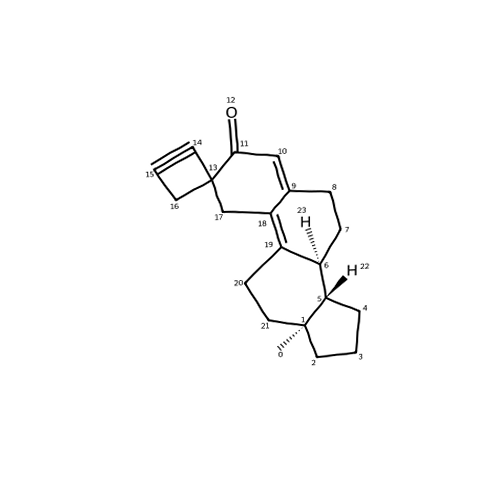 C[C@@]12CCC[C@H]1[C@@H]1CCC3=CC(=O)C4(C#CC4)CC3=C1CC2